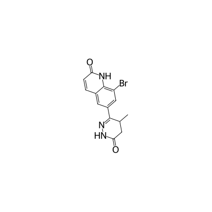 CC1CC(=O)NN=C1c1cc(Br)c2[nH]c(=O)ccc2c1